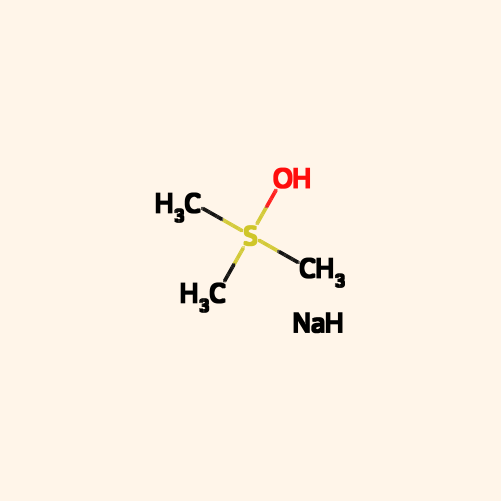 CS(C)(C)O.[NaH]